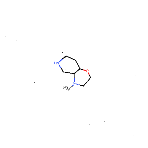 O=C(O)N1CCOC2CCNCC21